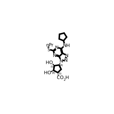 CCCSc1nc(NC2CCCC2)c2nnn([C@@H]3C[C@H](C(=O)O)[C@@H](O)[C@H]3O)c2n1